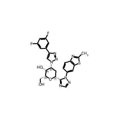 Cc1nc2ccc(-n3ncnc3[C@H]3C[C@@H](n4cc(-c5cc(F)cc(F)c5)nn4)[C@@H](O)[C@@H](CO)O3)cc2s1